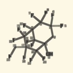 OC12CC(F)(F)C(F)(F)C(F)(C1(F)F)C(F)(F)C(F)(CF)C2(F)F